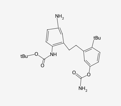 CC(C)(C)OC(=O)Nc1ccc(N)cc1CCc1cc(OC(N)=O)ccc1C(C)(C)C